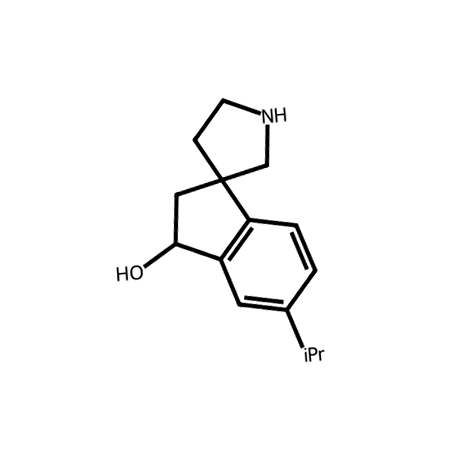 CC(C)c1ccc2c(c1)C(O)CC21CCNC1